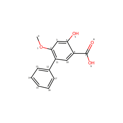 COc1cc(O)c(C(=O)O)cc1-c1ccccc1